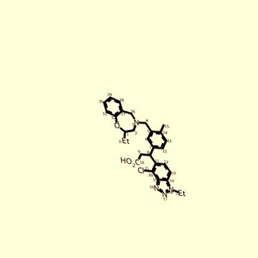 CCC1CN(Cc2cc(C(CC(=O)O)c3ccc4c(nnn4CC)c3Cl)ccc2C)Cc2ccccc2O1